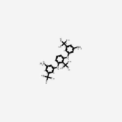 Nc1cc(Oc2cccc(Oc3cc(N)cc(C(F)(F)F)c3)c2C(F)(F)F)cc(C(F)(F)F)c1